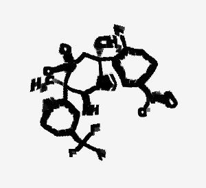 C[C@@]1(c2cc(C(F)(F)F)ccn2)C(=N)N[C@](C)(c2cc([N+](=O)[O-])ccc2F)CS1(=O)=O